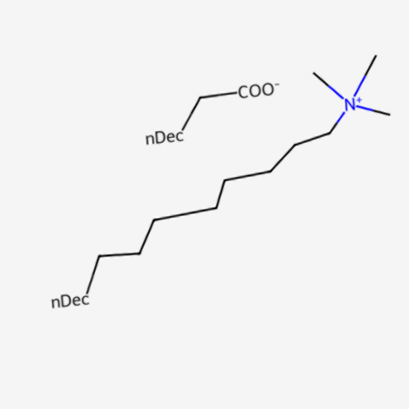 CCCCCCCCCCCC(=O)[O-].CCCCCCCCCCCCCCCCCC[N+](C)(C)C